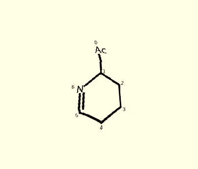 CC(=O)C1CCCC=N1